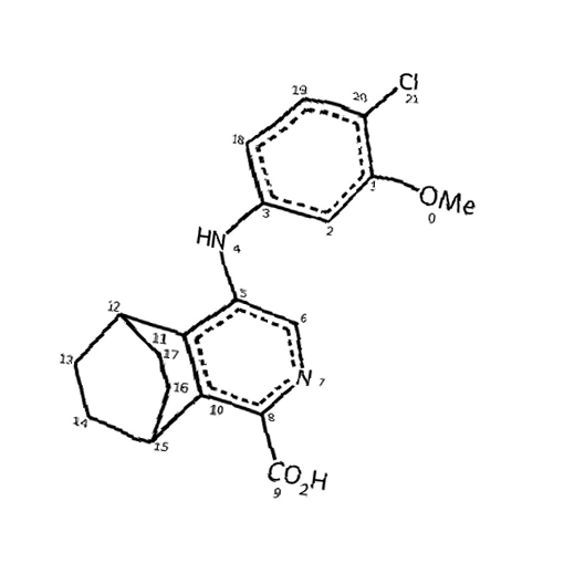 COc1cc(Nc2cnc(C(=O)O)c3c2C2CCC3CC2)ccc1Cl